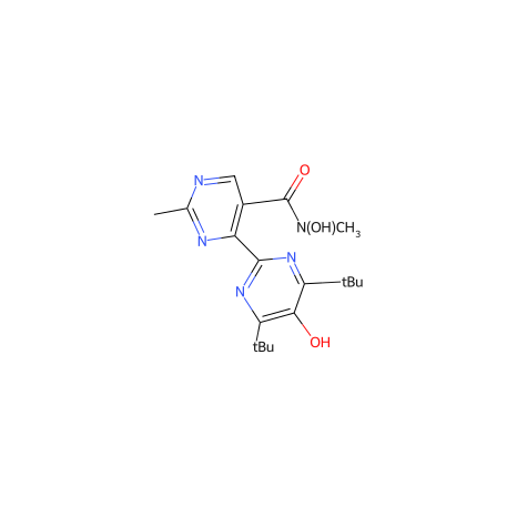 Cc1ncc(C(=O)N(C)O)c(-c2nc(C(C)(C)C)c(O)c(C(C)(C)C)n2)n1